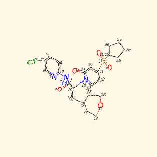 O=C(Nc1ccc(Cl)cn1)[C@H](CC1CCOCC1)n1ccc(S(=O)(=O)C2CCCC2)cc1=O